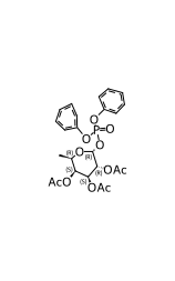 CC(=O)O[C@H]1[C@@H](OC(C)=O)[C@@H](C)O[C@H](OP(=O)(Oc2ccccc2)Oc2ccccc2)[C@@H]1OC(C)=O